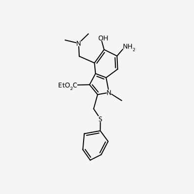 CCOC(=O)c1c(CSc2ccccc2)n(C)c2cc(N)c(O)c(CN(C)C)c12